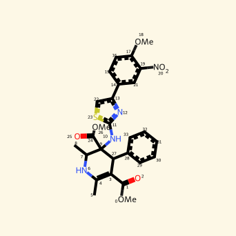 COC(=O)C1=C(C)NC(C)C(Nc2nc(-c3ccc(OC)c([N+](=O)[O-])c3)cs2)(C(=O)OC)C1c1ccccc1